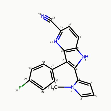 Cn1cccc1-c1[nH]c2ccc(C#N)nc2c1-c1ccc(F)cc1